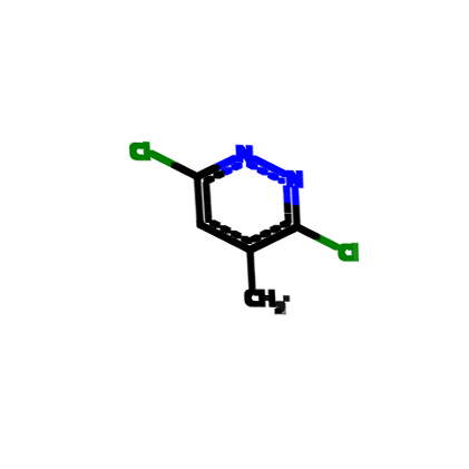 [CH2]c1cc(Cl)nnc1Cl